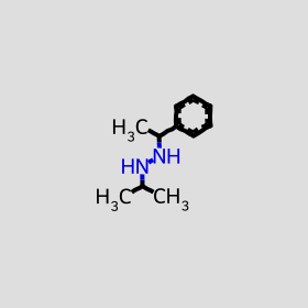 CC(C)NNC(C)c1ccccc1